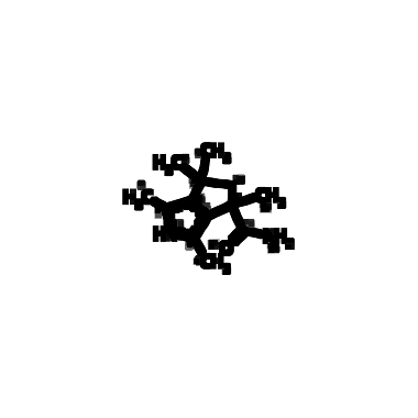 Cc1[nH]c(C)c2c1C(C)(C)CC2(C)C(N)=O